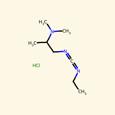 CCN=C=NCC(C)N(C)C.Cl